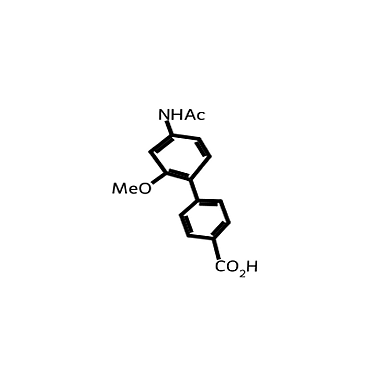 COc1cc(NC(C)=O)ccc1-c1ccc(C(=O)O)cc1